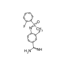 CS(=O)(=Nc1ccc(C(=N)N)cc1F)c1ccccc1F